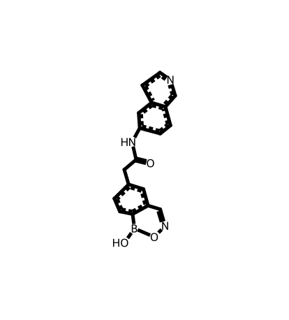 O=C(Cc1ccc2c(c1)C=NOB2O)Nc1ccc2cnccc2c1